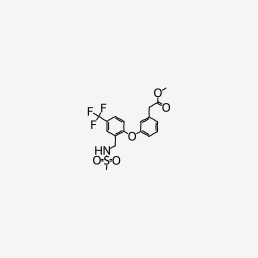 COC(=O)Cc1cccc(Oc2ccc(C(F)(F)F)cc2CNS(C)(=O)=O)c1